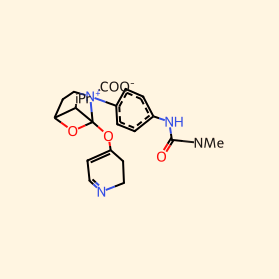 CNC(=O)Nc1ccc([N+]2(C(=O)[O-])CCC3OC2(OC2=CC=NCC2)C3C(C)C)cc1